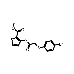 COC(=O)c1sccc1NC(=O)CSc1ccc(Br)cc1